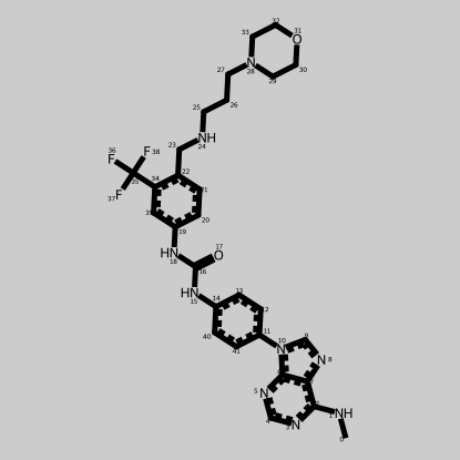 CNc1ncnc2c1ncn2-c1ccc(NC(=O)Nc2ccc(CNCCCN3CCOCC3)c(C(F)(F)F)c2)cc1